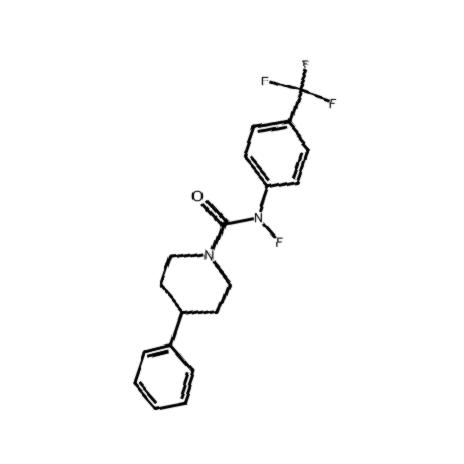 O=C(N1CCC(c2ccccc2)CC1)N(F)c1ccc(C(F)(F)F)cc1